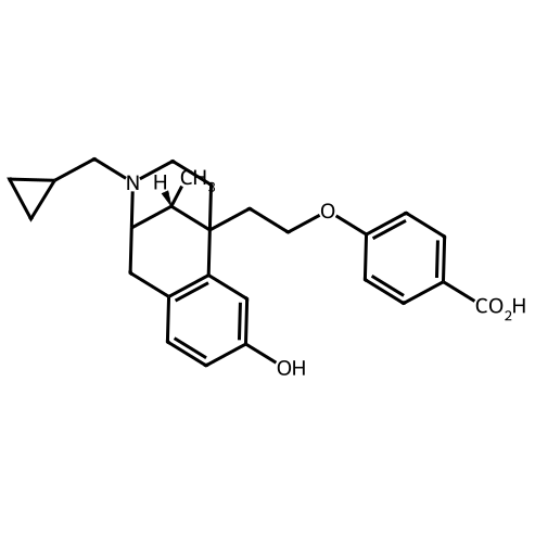 C[C@H]1C2Cc3ccc(O)cc3C1(CCOc1ccc(C(=O)O)cc1)CCN2CC1CC1